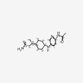 CC(=O)Nc1ccc(NC2CCN([C@H](C)CC(N)=O)CC2)cn1